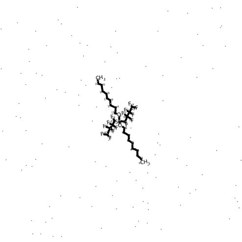 CCCCCCCCCC[O][Sn]([O]CCCCCCCCCC)([CH](F)C(F)(F)C(F)(F)C(F)F)[CH](F)C(F)(F)C(F)(F)C(F)F